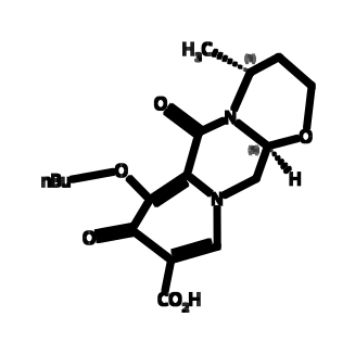 CCCCOc1c2n(cc(C(=O)O)c1=O)C[C@@H]1OCC[C@@H](C)N1C2=O